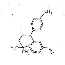 Cc1ccc(C2=CCC(C)(C)c3ccc(C=O)cc32)cc1